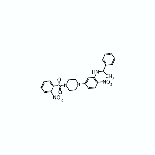 CC(Nc1cc(N2CCN(S(=O)(=O)c3ccccc3[N+](=O)[O-])CC2)ccc1[N+](=O)[O-])c1ccccc1